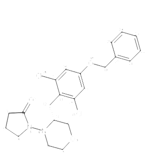 O=C1CCCN1N1CCOC[C@H]1Cc1c(Cl)cc(OCc2ccccc2)cc1Cl